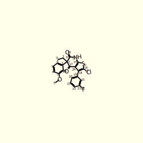 CCC1(c2cccc(OC)c2)C(=O)Nc2sc(Cl)c(-c3cccc(F)c3)c2C1=O